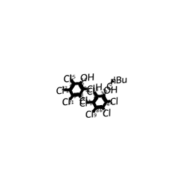 CCCCC.Oc1c(Cl)c(Cl)c(Cl)c(Cl)c1Cl.Oc1c(Cl)c(Cl)c(Cl)c(Cl)c1Cl